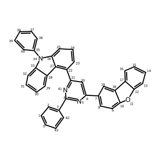 c1ccc(-c2nc(-c3ccc4oc5ccccc5c4c3)cc(-c3cccc4c3c3ccccc3n4-c3ccccc3)n2)cc1